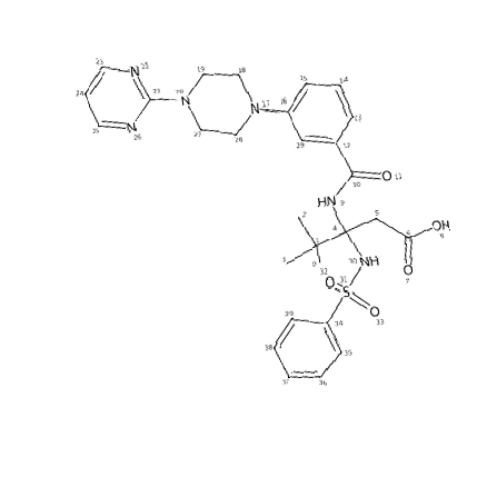 CC(C)(C)C(CC(=O)O)(NC(=O)c1cccc(N2CCN(c3ncccn3)CC2)c1)NS(=O)(=O)c1ccccc1